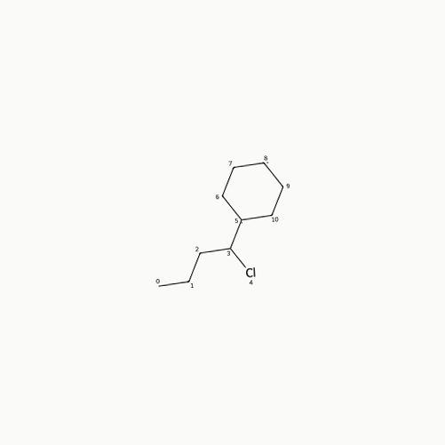 CCCC(Cl)[C]1CC[CH]CC1